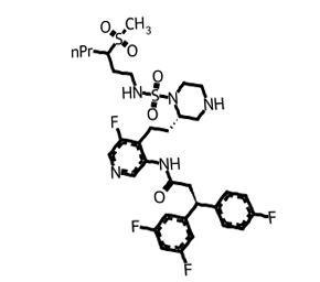 CCCC(CCNS(=O)(=O)N1CCNC[C@@H]1CCc1c(F)cncc1NC(=O)C[C@@H](c1ccc(F)cc1)c1cc(F)cc(F)c1)S(C)(=O)=O